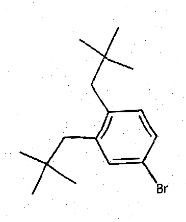 CC(C)(C)Cc1ccc(Br)cc1CC(C)(C)C